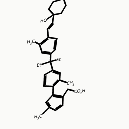 CCC(CC)(c1ccc(/C=C/C2(O)CCCCC2)c(C)c1)c1ccc(-c2cc(C)ccc2CC(=O)O)c(C)c1